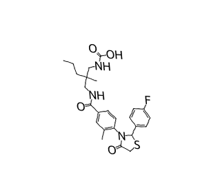 CCCC(C)(CNC(=O)O)CNC(=O)c1ccc(N2C(=O)CSC2c2ccc(F)cc2)c(C)c1